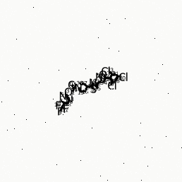 O=C(COc1ncc(C(F)(F)F)cn1)N1CCC(c2nc(C3=NOC(c4c(Cl)cc(Cl)cc4Cl)C3)cs2)CC1